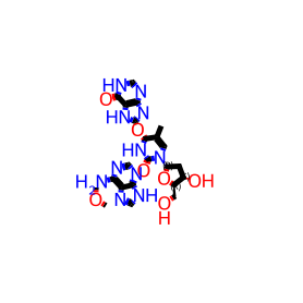 COC.Cc1cn([C@H]2C[C@H](O)[C@@H](CO)O2)c(=O)[nH]c1=O.Nc1ncnc2[nH]cnc12.O=c1[nH]cnc2nc[nH]c12